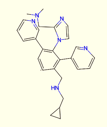 CN(C)Cc1nccn1-c1c(-c2cccnc2)c[c]c(CNCC2CC2)c1-c1cccnc1